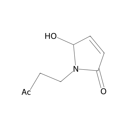 CC(=O)CCN1C(=O)C=CC1O